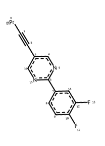 CCCC#Cc1cnc(-c2ccc(F)c(F)c2)nc1